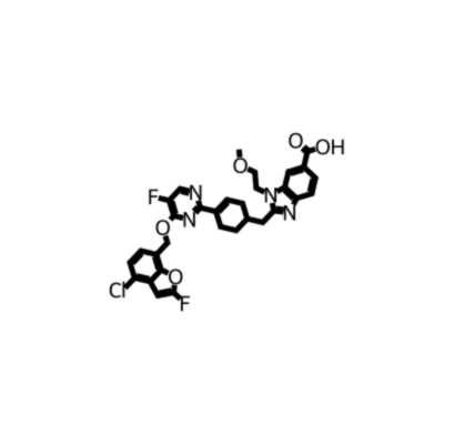 COCCn1c(CC2CC=C(c3ncc(F)c(OCc4ccc(Cl)c5cc(F)oc45)n3)CC2)nc2ccc(C(=O)O)cc21